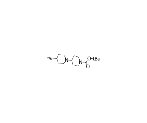 C#CC1CCN(C2CCN(C(=O)OC(C)(C)C)CC2)CC1